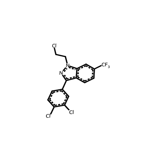 FC(F)(F)c1ccc2c(-c3ccc(Cl)c(Cl)c3)nn(CCCl)c2c1